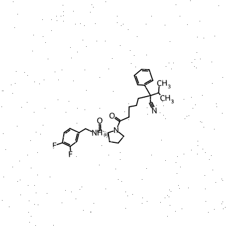 CC(C)C(C#N)(CCCCC(=O)N1CCC[C@@H]1C(=O)NCc1ccc(F)c(F)c1)c1ccccc1